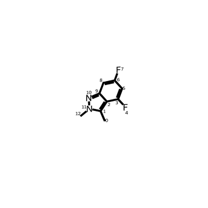 Cc1c2c(F)cc(F)cc2nn1C